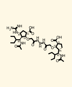 CCC(CC)[C@@H](NC(C)=O)[C@H]1CC[C@H](C(=O)O)[C@H]1OCC(=O)NBNC(=O)CO[C@H]1[C@@H]([C@H](NC(C)=O)C(CC)CC)[C@H](NC(=N)N)C[C@@H]1C(=O)O